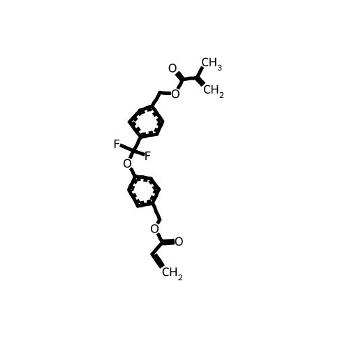 C=CC(=O)OCc1ccc(OC(F)(F)c2ccc(COC(=O)C(=C)C)cc2)cc1